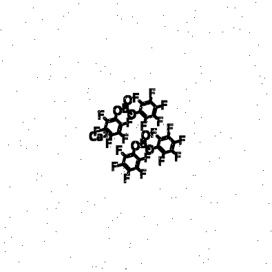 [Ca+2].[O-]B(Oc1c(F)c(F)c(F)c(F)c1F)Oc1c(F)c(F)c(F)c(F)c1F.[O-]B(Oc1c(F)c(F)c(F)c(F)c1F)Oc1c(F)c(F)c(F)c(F)c1F